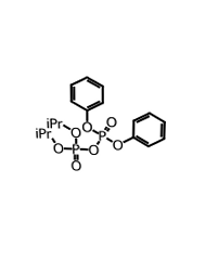 CC(C)OP(=O)(OC(C)C)OP(=O)(Oc1ccccc1)Oc1ccccc1